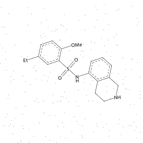 CCc1ccc(OC)c(S(=O)(=O)Nc2cccc3c2CCNC3)c1